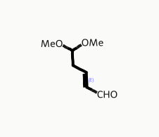 COC(C/C=C/C=O)OC